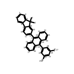 CC1(C)c2ccccc2-c2ccc(-c3c4ccccc4c(-c4cc(F)cc(F)c4)c4ccccc34)cc21